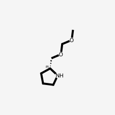 COCOC[C@H]1CCCN1